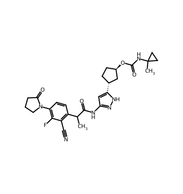 CC(C(=O)Nc1cc([C@@H]2CC[C@@H](OC(=O)NC3(C)CC3)C2)[nH]n1)c1ccc(N2CCCC2=O)c(F)c1C#N